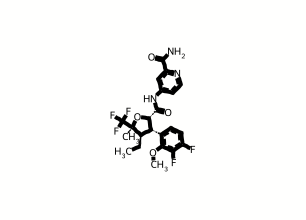 CC[C@@H]1[C@@H](c2ccc(F)c(F)c2OC)[C@@H](C(=O)Nc2ccnc(C(N)=O)c2)O[C@]1(C)C(F)(F)F